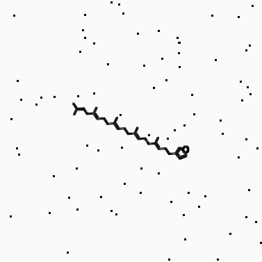 CC(C)=CC/C(C)=C/CC/C(C)=C/CC/C(C)=C/CC/C(C)=C/CCc1ccoc1